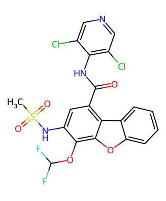 CS(=O)(=O)Nc1cc(C(=O)Nc2c(Cl)cncc2Cl)c2c(oc3ccccc32)c1OC(F)F